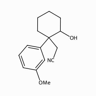 COc1cccc(C2(CC#N)CCCCC2O)c1